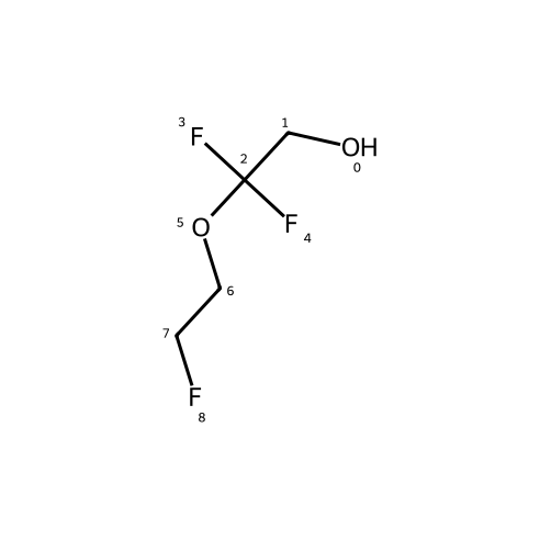 OCC(F)(F)OCCF